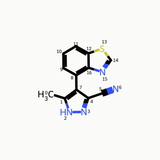 Cc1[nH]nc(C#N)c1-c1cccc2scnc12